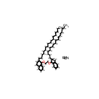 CCCCCCCCCCCCCCCCCCc1ccc2ccccc2c1OCCOc1c(CCCCCCCCCCCCCCCCCC)ccc2ccccc12.[KH].[KH]